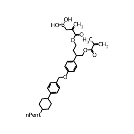 C=C(C)C(=O)OCC(CCOC(=O)C(=C)CB(O)O)c1ccc(OCc2ccc(C3CCC(CCCCC)CC3)cc2)cc1